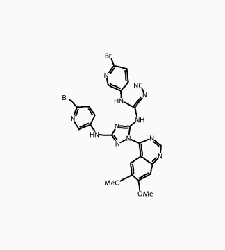 COc1cc2ncnc(-n3nc(Nc4ccc(Br)nc4)nc3NC(=NC#N)Nc3ccc(Br)nc3)c2cc1OC